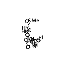 COC(=O)CCCNC(=O)Nc1ccc(NC(=O)[C@H](Cc2ccccc2)NC(=O)C=Cc2cc(Cl)ccc2-n2cnnn2)cc1